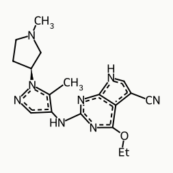 CCOc1nc(Nc2cnn([C@H]3CCN(C)C3)c2C)nc2[nH]cc(C#N)c12